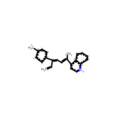 C=C/C(=C\C=C(/C)c1ccnc2ccccc12)c1ccc(C)cc1